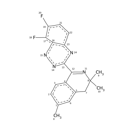 Cc1ccc2c(c1)CC(C)(C)N=C2c1nnc2c(F)c(F)ccc2n1